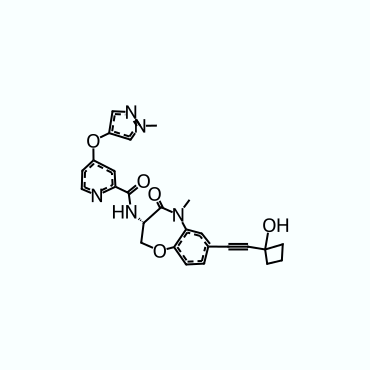 CN1C(=O)[C@@H](NC(=O)c2cc(Oc3cnn(C)c3)ccn2)COc2ccc(C#CC3(O)CCC3)cc21